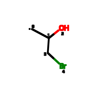 [CH2]C(O)CBr